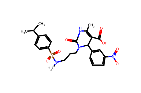 CC1=C(C(=O)O)C(c2cccc([N+](=O)[O-])c2)N(CCCN(C)S(=O)(=O)c2ccc(C(C)C)cc2)C(=O)N1